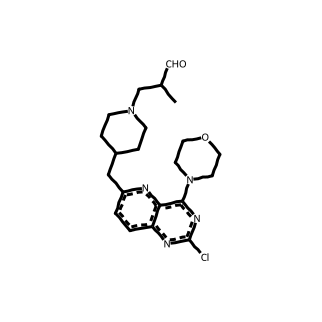 CC(C=O)CN1CCC(Cc2ccc3nc(Cl)nc(N4CCOCC4)c3n2)CC1